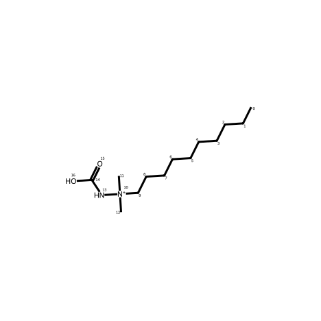 CCCCCCCCCC[N+](C)(C)NC(=O)O